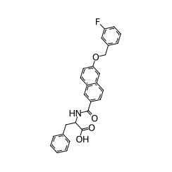 O=C(NC(Cc1ccccc1)C(=O)O)c1ccc2cc(OCc3cccc(F)c3)ccc2c1